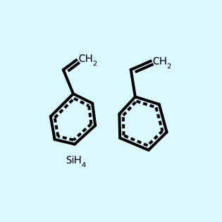 C=Cc1ccccc1.C=Cc1ccccc1.[SiH4]